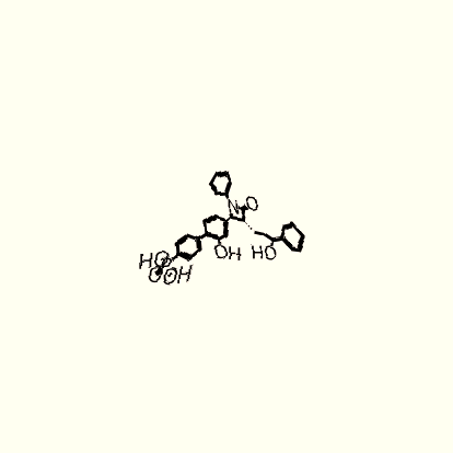 O=C1[C@H](CC[C@H](O)c2ccccc2)[C@@H](c2ccc(-c3ccc(P(=O)(O)O)cc3)c(O)c2)N1c1ccccc1